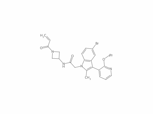 C=CC(=O)N1CC(NC(=O)Cn2c(C)c(-c3cccnc3OC(C)C)c3cc(Br)ccc32)C1